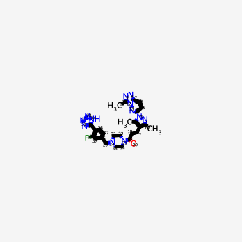 Cc1nn(-c2ccc3nnc(C)n3n2)c(C)c1CCC(=O)N1CCN(Cc2ccc(-c3nnn[nH]3)c(F)c2)CC1